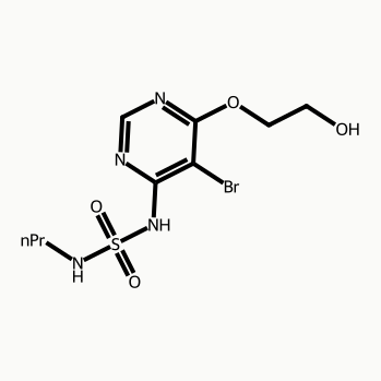 CCCNS(=O)(=O)Nc1ncnc(OCCO)c1Br